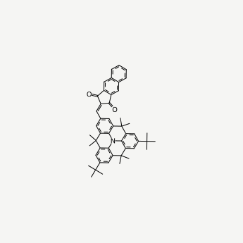 CC(C)(C)c1cc2c3c(c1)C(C)(C)c1cc(C(C)(C)C)cc4c1N3c1c(cc(C=C3C(=O)c5cc6ccccc6cc5C3=O)cc1C4(C)C)C2(C)C